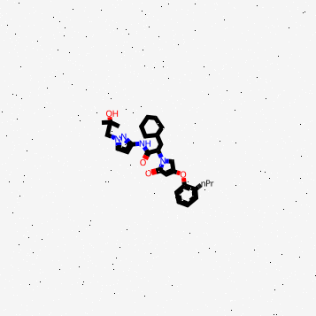 CCCc1ccccc1OC1=CC(=O)N(C(CC2CCCCC2)C(=O)Nc2ccn(CC(C)(C)O)n2)C1